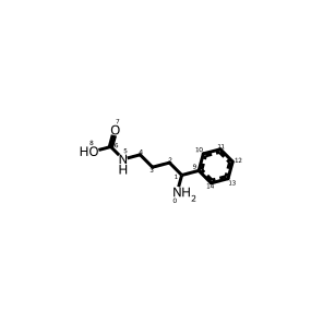 NC(CCCNC(=O)O)c1ccccc1